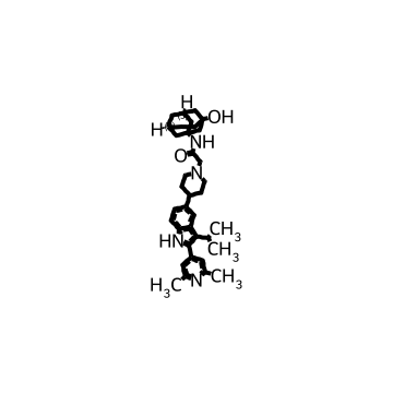 Cc1cc(-c2[nH]c3ccc(C4CCN(CC(=O)NC56C[C@@H]7C[C@@H](CC(O)(C7)C5)C6)CC4)cc3c2C(C)C)cc(C)n1